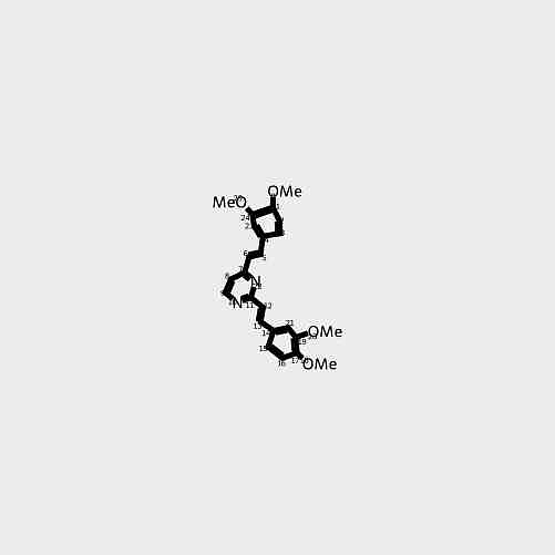 COc1ccc(C=Cc2ccnc(C=Cc3ccc(OC)c(OC)c3)n2)cc1OC